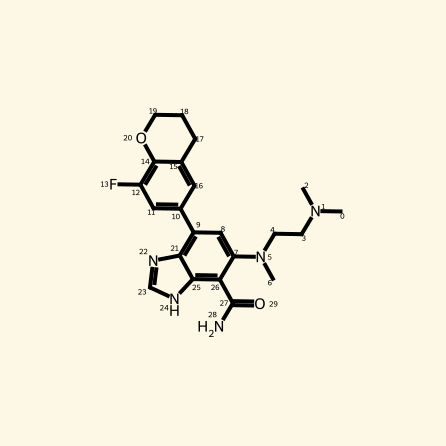 CN(C)CCN(C)c1cc(-c2cc(F)c3c(c2)CCCO3)c2nc[nH]c2c1C(N)=O